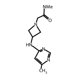 CNC(=O)CN1CC(Nc2cc(C)ncn2)C1